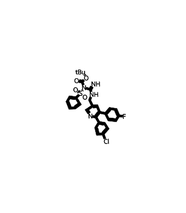 CC(C)(C)OC(=O)N(C(=N)NCc1cnc(-c2ccc(Cl)cc2)c(-c2ccc(F)cc2)c1)S(=O)(=O)c1ccccc1